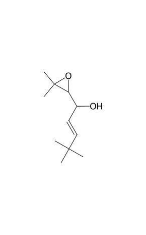 CC(C)(C)C=CC(O)C1OC1(C)C